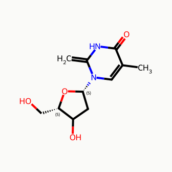 C=C1NC(=O)C(C)=CN1[C@@H]1CC(O)[C@H](CO)O1